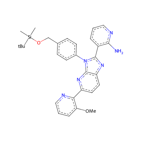 COc1cccnc1-c1ccc2nc(-c3cccnc3N)n(-c3ccc(CO[Si](C)(C)C(C)(C)C)cc3)c2n1